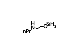 CCCNCCO[SiH3]